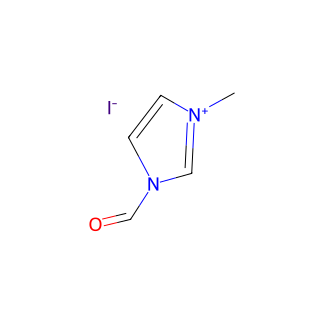 C[n+]1ccn(C=O)c1.[I-]